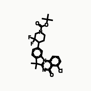 CC(C)(C)OC(=O)N1CCC(c2ccc3c(c2)-n2c(nc(=O)c4c(Cl)cccc42)C3(C)C)C(F)(F)C1